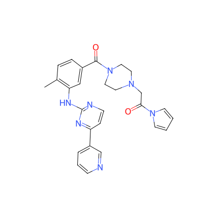 Cc1ccc(C(=O)N2CCN(CC(=O)n3cccc3)CC2)cc1Nc1nccc(-c2cccnc2)n1